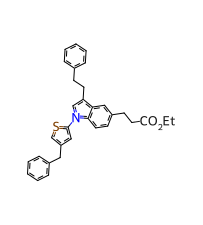 CCOC(=O)CCc1ccc2c(c1)c(CCc1ccccc1)cn2-c1cc(Cc2ccccc2)cs1